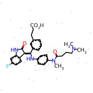 CN(C)CCCC(=O)N(C)c1ccc(NC(=C2C(=O)Nc3cc(F)ccc32)c2cccc(CCC(=O)O)c2)cc1